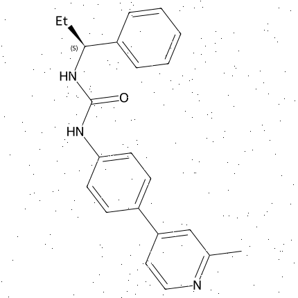 CC[C@H](NC(=O)Nc1ccc(-c2ccnc(C)c2)cc1)c1ccccc1